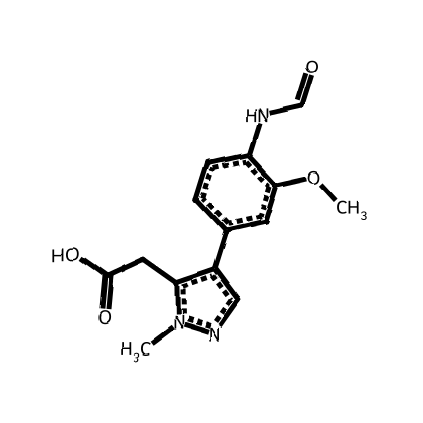 COc1cc(-c2cnn(C)c2CC(=O)O)ccc1NC=O